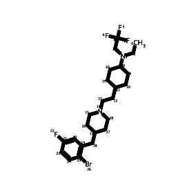 CCN(CC(F)(F)F)C1CCC(CCN2CCC(Cc3cc(F)ccc3Br)CC2)CC1